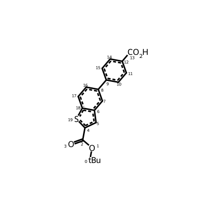 CC(C)(C)OC(=O)c1cc2cc(-c3ccc(C(=O)O)cc3)ccc2s1